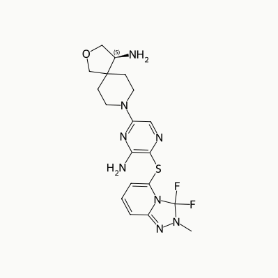 CN1N=C2C=CC=C(Sc3ncc(N4CCC5(CC4)COC[C@H]5N)nc3N)N2C1(F)F